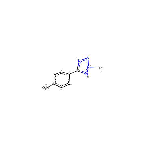 CCn1nnc(-c2ccc([N+](=O)[O-])cc2)n1